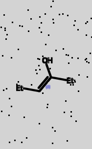 C[CH]/C(O)=C/CC